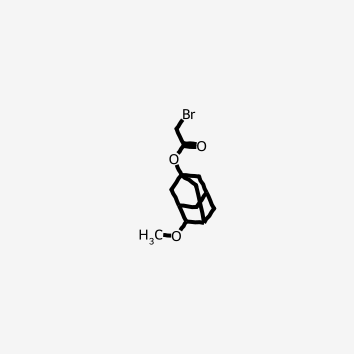 COC1C2CC3CC1CC(OC(=O)CBr)(C3)C2